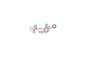 O=C(N[C@@H](CCCCNC(=O)C(F)(F)F)C(=O)O)OCc1ccccc1